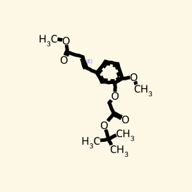 COC(=O)/C=C/c1ccc(OC)c(OCC(=O)OC(C)(C)C)c1